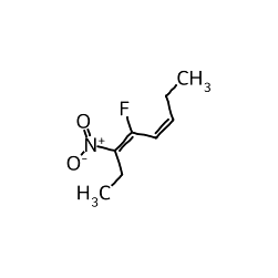 CC/C=C\C(F)=C(/CC)[N+](=O)[O-]